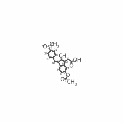 CC(=O)Oc1ccc2c(c1)C(CC(=O)O)=C(C)C2=Cc1ccc([S+](C)[O-])cc1